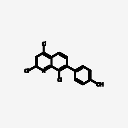 Oc1ccc(-c2ccc3c(Cl)cc(Cl)nc3c2Cl)cc1